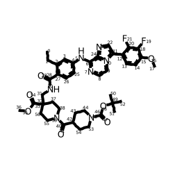 CCc1cc(Nc2nccn3c(-c4ccc(OC)c(F)c4F)cnc23)ccc1C(=O)NCC1(C(=O)OC)CCN(C(=O)C2CCN(C(=O)OC(C)(C)C)CC2)CC1